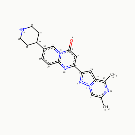 Cc1cn2nc(-c3cc(=O)n4cc(C5CCNCC5)ccc4n3)cc2c(C)n1